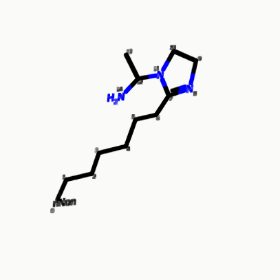 CCCCCCCCCCCCCCCC1=NCCN1C(C)N